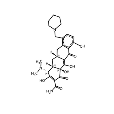 CN(C)[C@H]1C(O)=C(C(N)=O)C(=O)[C@@]2(O)C(O)=C3C(=O)c4c(O)ccc(CN5CCCCC5)c4C[C@H]3C[C@@H]12